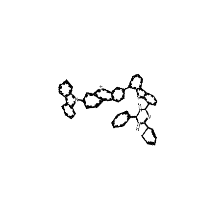 C1=CCC(C2=NC(c3cccc4c3sc3c(-c5ccc6c(c5)sc5cc(-n7c8ccccc8c8ccccc87)ccc56)cccc34)NC(c3ccccc3)N2)C=C1